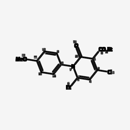 CCOC(=O)c1c(Cl)cc(CC)n(-c2ccc(OC)cc2)c1=O